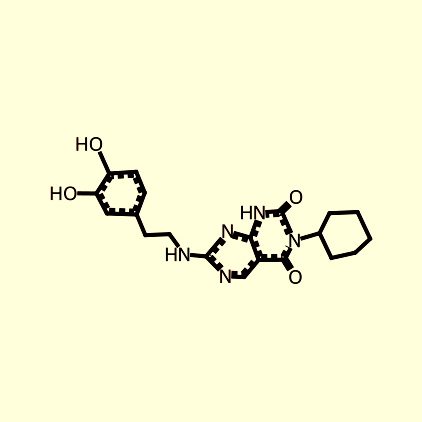 O=c1[nH]c2nc(NCCc3ccc(O)c(O)c3)ncc2c(=O)n1C1CCCCC1